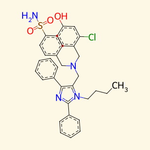 CCCCn1c(-c2ccccc2)nc(-c2ccccc2)c1CN(Cc1ccc(S(N)(=O)=O)cc1)Cc1ccc(O)cc1Cl